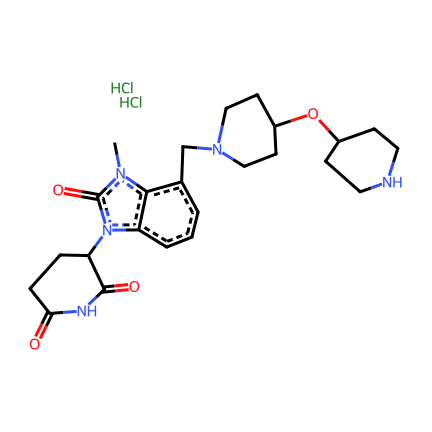 Cl.Cl.Cn1c(=O)n(C2CCC(=O)NC2=O)c2cccc(CN3CCC(OC4CCNCC4)CC3)c21